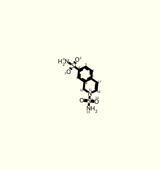 NS(=O)(=O)c1ccc2c(c1)CN(S(N)(=O)=O)C=C2